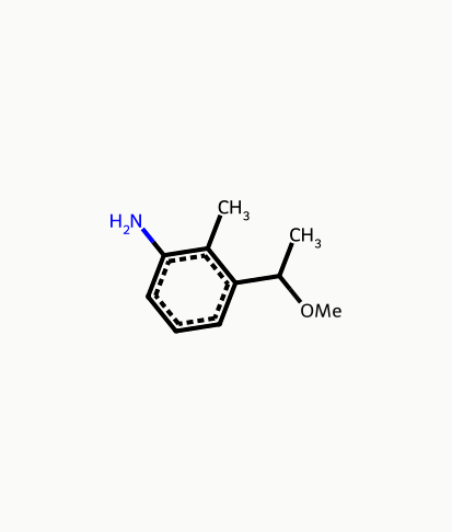 COC(C)c1cccc(N)c1C